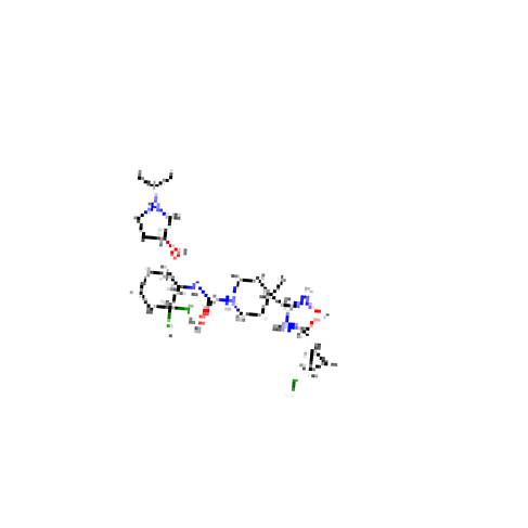 CC(C)N1CC[C@H](O[C@H]2CCCC(F)(F)[C@@H]2NC(=O)N2CCC(C)(c3noc([C@@H]4C[C@@H]4F)n3)CC2)C1